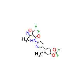 Cc1cc2c(cc1-c1ccc(NC(=O)c3c(C)noc3C(F)F)nc1)OC(F)(F)O2